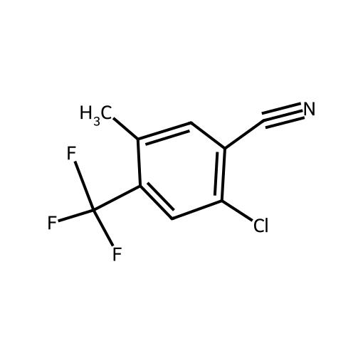 Cc1cc(C#N)c(Cl)cc1C(F)(F)F